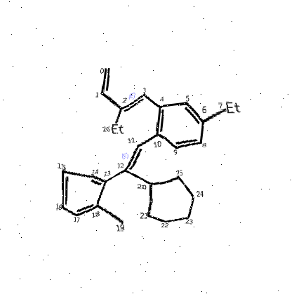 C=C/C(=C/c1cc(CC)ccc1/C=C(/c1ccccc1C)C1CCCCC1)CC